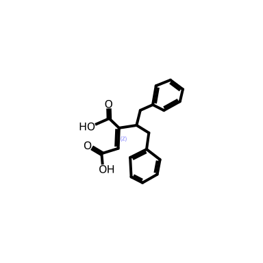 O=C(O)/C=C(\C(=O)O)C(Cc1ccccc1)Cc1ccccc1